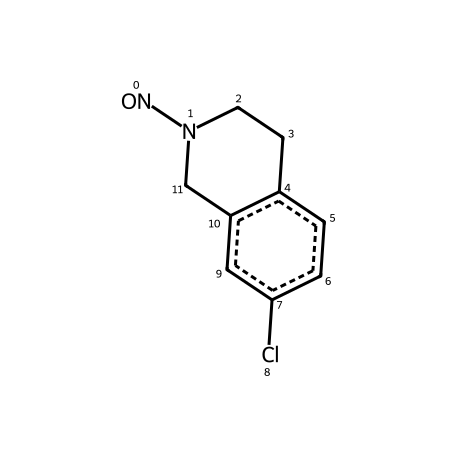 O=NN1CCc2ccc(Cl)cc2C1